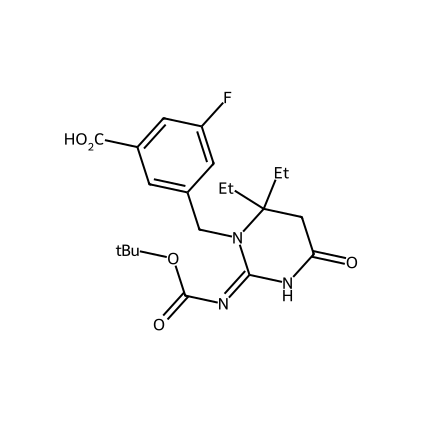 CCC1(CC)CC(=O)NC(=NC(=O)OC(C)(C)C)N1Cc1cc(F)cc(C(=O)O)c1